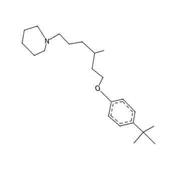 CC(CCCN1CCCCC1)CCOc1ccc(C(C)(C)C)cc1